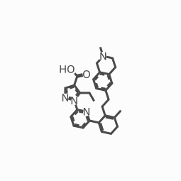 CCc1c(C(=O)O)cnn1-c1cccc(C2=CCCC(C)=C2CCc2ccc3c(c2)CCN(C)C3)n1